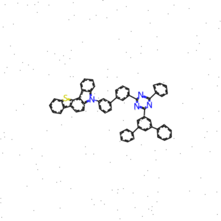 c1ccc(-c2cc(-c3ccccc3)cc(-c3nc(-c4ccccc4)nc(-c4cccc(-c5cccc(-n6c7ccccc7c7c8sc9ccccc9c8ccc76)c5)c4)n3)c2)cc1